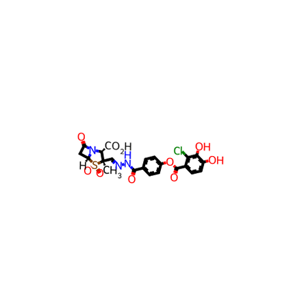 C[C@]1(/C=N/NC(=O)c2ccc(OC(=O)c3ccc(O)c(O)c3Cl)cc2)[C@H](C(=O)O)N2C(=O)C[C@H]2S1(=O)=O